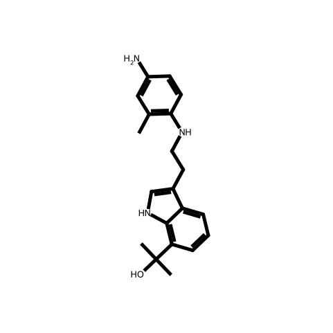 Cc1cc(N)ccc1NCCc1c[nH]c2c(C(C)(C)O)cccc12